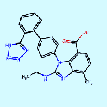 CCNc1nc2c(C)ccc(C(=O)O)c2n1-c1ccc(-c2ccccc2-c2nnn[nH]2)cc1